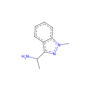 CC(N)c1nn(C)c2ccccc12